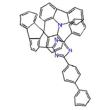 c1ccc(-c2ccc(-c3nc(-c4ccccc4)nc(-c4cccc5c4C4(c6ccccc6-5)c5ccccc5-n5c6ccccc6c6cccc4c65)n3)cc2)cc1